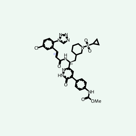 COC(=O)Nc1ccc(-c2cc([C@H](CC3CCCN(S(=O)(=O)C4CC4)C3)NC(=O)/C=C/c3cc(Cl)ccc3-n3cnnn3)n[nH]c2=O)cc1